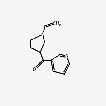 C=CN1CCC(C(=O)c2cccnc2)C1